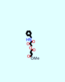 COC(=O)/C=C/C(=O)OCC(=O)C(=O)NCc1ccccc1